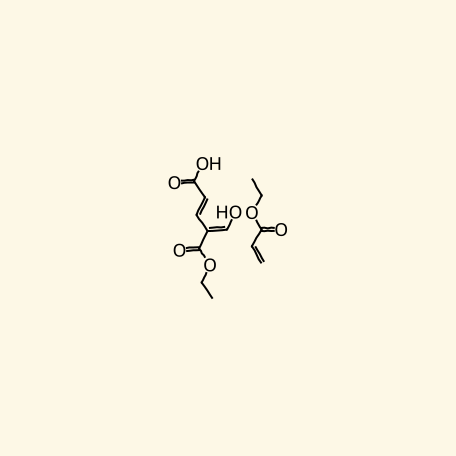 C=CC(=O)OCC.CCOC(=O)C(C=CC(=O)O)=CO